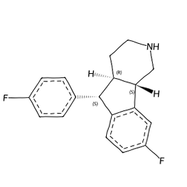 Fc1ccc([C@H]2c3ccc(F)cc3[C@H]3CNCC[C@H]23)cc1